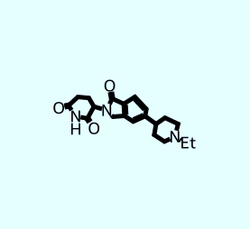 CCN1CCC(c2ccc3c(c2)CN(C2CCC(=O)NC2=O)C3=O)CC1